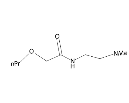 CCCOCC(=O)NCCNC